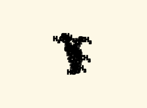 COc1ccc(CN(Cc2ccc(OC)cc2)S(=O)(=O)c2c(S(=O)(=O)C3CN(C(=O)OC(C)(C)C)C3)ccc(-c3ccc(C4CCN(C(=O)O)CC4)cc3)c2-c2nnn(Cc3ccc(OC)cc3)n2)cc1